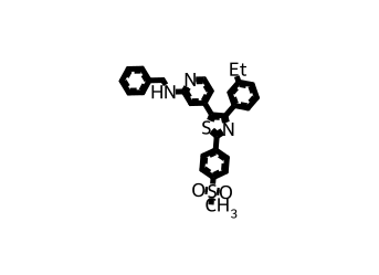 CCc1cccc(-c2nc(-c3ccc(S(C)(=O)=O)cc3)sc2-c2ccnc(NCc3ccccc3)c2)c1